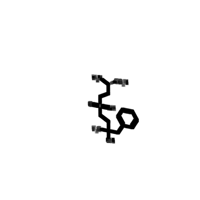 N=S(=O)(CC[C@H](N)C(=O)O)CCC(O)(Cc1ccccc1)C(F)(F)F